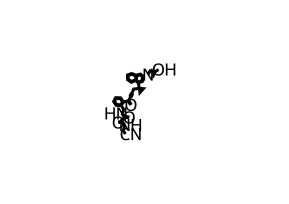 N#CCNC(=O)C(=O)NCc1ccccc1C(=O)C#CCC1(c2cc(N3CC(O)C3)cc3ccccc23)CC1